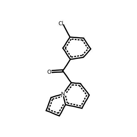 O=C(c1cccc(Cl)c1)c1cccc2cccn12